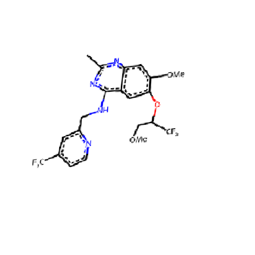 COCC(Oc1cc2c(NCc3cc(C(F)(F)F)ccn3)nc(C)nc2cc1OC)C(F)(F)F